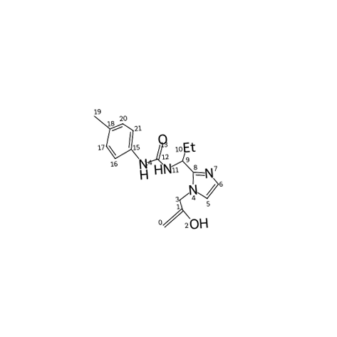 C=C(O)Cn1ccnc1C(CC)NC(=O)Nc1ccc(C)cc1